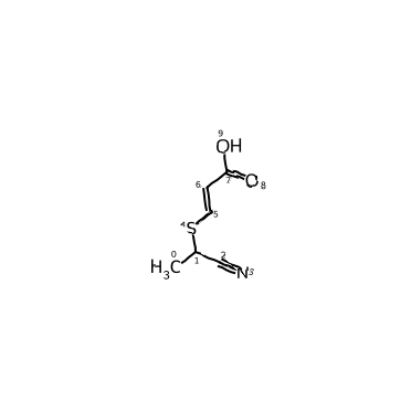 CC(C#N)SC=CC(=O)O